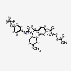 CC1CCC(N2/C(=N/c3ccc(OC(F)(F)F)cc3)OCC2c2ccc(C(=O)NCCC(=O)O)cc2)CC1